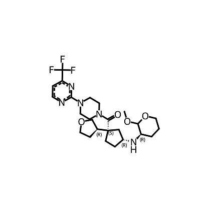 COC1OCCC[C@H]1N[C@@H]1CC[C@@](C(=O)N2CCN(c3nccc(C(F)(F)F)n3)CC2)([C@H]2CCOC2)C1